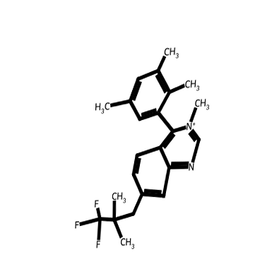 Cc1cc(C)c(C)c(-c2c3ccc(CC(C)(C)C(F)(F)F)cc3nc[n+]2C)c1